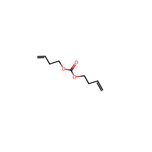 C=CCCOC(=O)OCCC=C